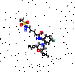 CC(C)S(=O)(=O)NCCCCC(=O)Nc1ccc(F)cc1N1C[C@@H](C)O[C@@H](C)C1